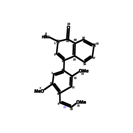 CCCCn1cc(-c2cc(OC)c(/C=C\OC)cc2OC)c2ccncc2c1=O